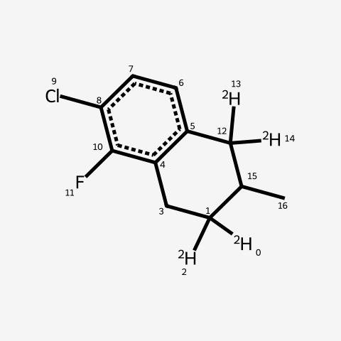 [2H]C1([2H])Cc2c(ccc(Cl)c2F)C([2H])([2H])C1C